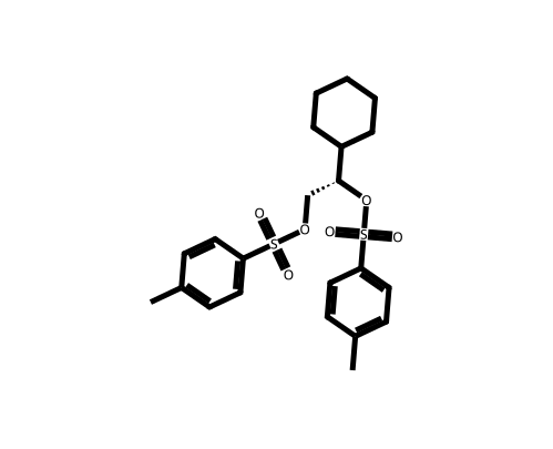 Cc1ccc(S(=O)(=O)OC[C@@H](OS(=O)(=O)c2ccc(C)cc2)C2CCCCC2)cc1